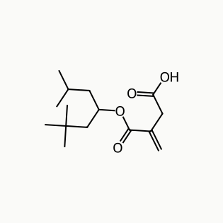 C=C(CC(=O)O)C(=O)OC(CC(C)C)CC(C)(C)C